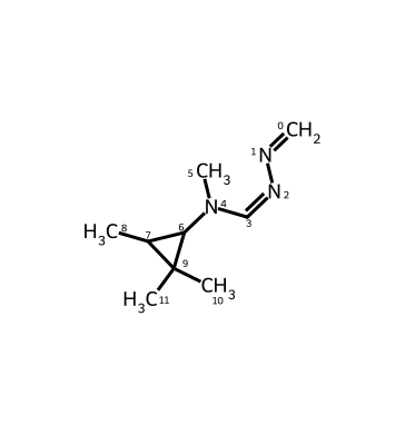 C=N/N=C\N(C)C1C(C)C1(C)C